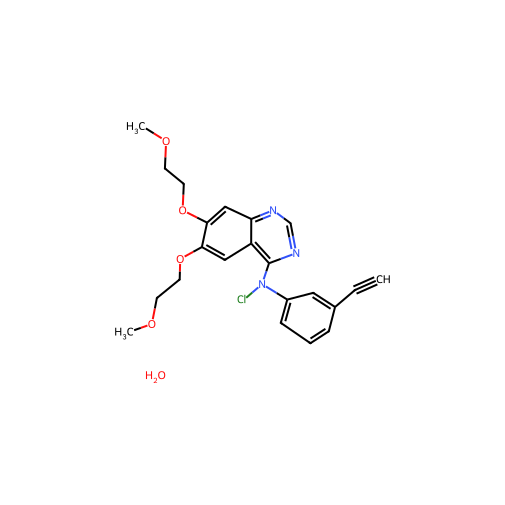 C#Cc1cccc(N(Cl)c2ncnc3cc(OCCOC)c(OCCOC)cc23)c1.O